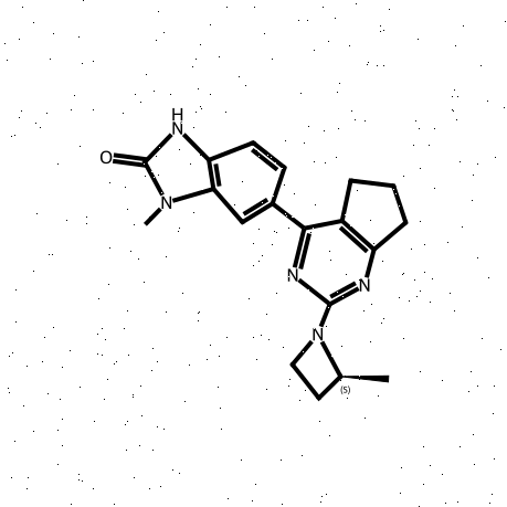 C[C@H]1CCN1c1nc2c(c(-c3ccc4[nH]c(=O)n(C)c4c3)n1)CCC2